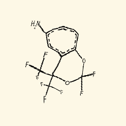 Nc1ccc2c(c1)C(C(F)(F)F)(C(F)(F)F)OC(F)(F)O2